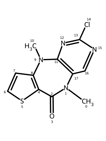 CN1C(=O)c2sccc2N(C)c2nc(Cl)ncc21